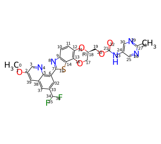 COc1cnc2c(-c3nc4ccc5c(c4s3)OC[C@H](COC(=O)Nc3cnc(C)nc3)O5)cc(C(F)F)cc2c1